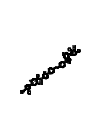 C[C@@H]1CN(C(=O)Nc2ccc(N3CCC(CCN4CCC(n5ncc6c(N7CCC(=O)NC7=O)cncc65)CC4)CC3)nc2)[C@@H](C)CN1c1ccc(C#N)c(Cl)c1